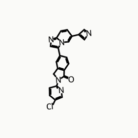 O=C1c2ccc(-c3cnc4ccc(C5=CN=C5)cn34)cc2CN1c1ccc(Cl)cn1